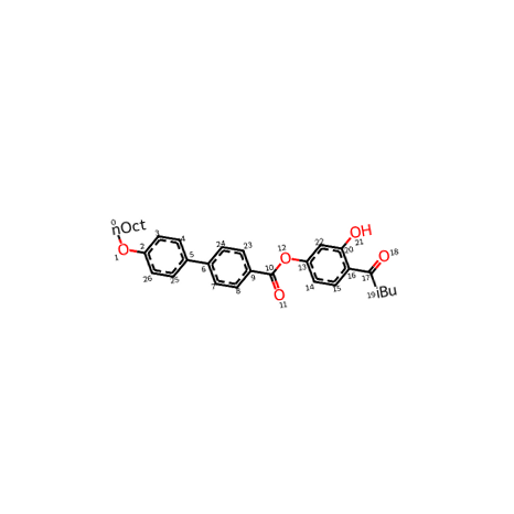 CCCCCCCCOc1ccc(-c2ccc(C(=O)Oc3ccc(C(=O)C(C)CC)c(O)c3)cc2)cc1